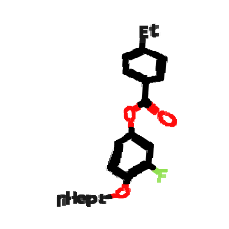 CCCCCCCOc1ccc(OC(=O)c2ccc(CC)cc2)cc1F